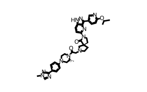 CC(C)Oc1ccc(-c2n[nH]c3ccc(N4CC[C@]5(CCN(CC(=O)N6CCN(c7ccc(-c8ncn(C)n8)cc7)C[C@H]6C)C5)C4=O)nc23)cn1